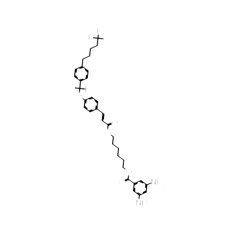 Nc1cc(N)cc(C(=O)OCCCCCCOC(=O)/C=C/c2ccc(OC(F)(F)c3ccc(CCCCC(F)(F)F)cc3)cc2)c1